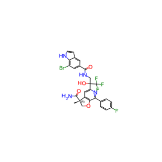 C[C@]1(C(N)=O)COc2c1cc(C(O)(CNC(=O)c1cc(Br)c3[nH]ccc3c1)C(F)(F)F)nc2-c1ccc(F)cc1